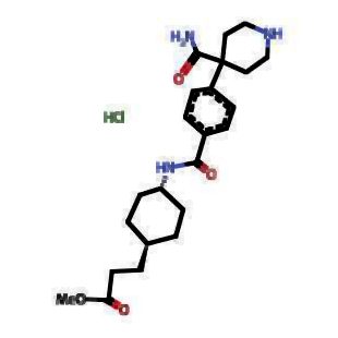 COC(=O)CC[C@H]1CC[C@H](NC(=O)c2ccc(C3(C(N)=O)CCNCC3)cc2)CC1.Cl